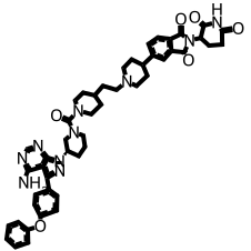 Nc1ncnc2c1c(-c1ccc(Oc3ccccc3)cc1)nn2[C@@H]1CCCN(C(=O)N2CCC(CCN3CCC(c4ccc5c(c4)C(=O)N(C4CCC(=O)NC4=O)C5=O)CC3)CC2)C1